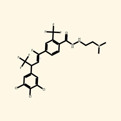 CN(C)CCNNC(=O)c1ccc(/C(F)=C/C(c2cc(Cl)c(Cl)c(Cl)c2)C(F)(F)F)cc1C(F)(F)F